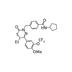 CCC1SC(=O)N(Cc2ccc(C(=O)NC3CCCC3)cc2)N=C1c1ccc(OC)c(OC(F)(F)F)c1